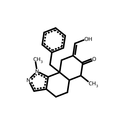 CC1C(=O)C(=CO)CC2(Cc3ccccc3)c3c(cnn3C)CCC12